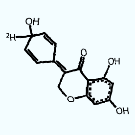 [2H]C1(O)C=CC(=C2COc3cc(O)cc(O)c3C2=O)C=C1